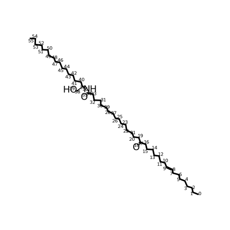 CCCCCCCCC=CCCCCCCCC(=O)CCCCCCCCCCCCCCCC(=O)N[C@@H](CO)CCCCCCCCCCCCCCCC